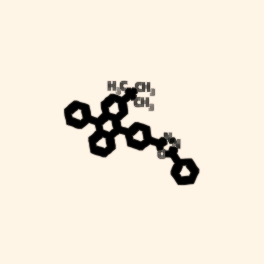 CC(C)(C)c1ccc2c(-c3ccccc3)c3ccccc3c(-c3ccc(-c4nnc(-c5ccccc5)o4)cc3)c2c1